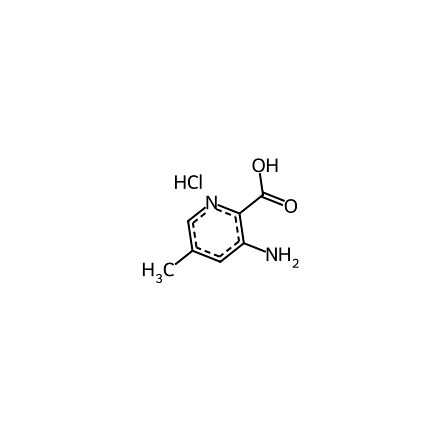 Cc1cnc(C(=O)O)c(N)c1.Cl